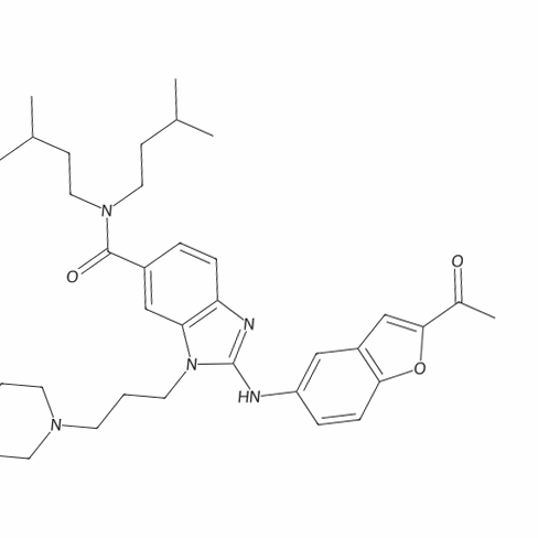 CC(=O)c1cc2cc(Nc3nc4ccc(C(=O)N(CCC(C)C)CCC(C)C)cc4n3CCCN3CCCCC3)ccc2o1